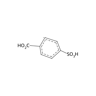 O=C(O)c1[c]cc(S(=O)(=O)O)cc1